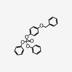 O=P(Oc1ccccc1)(Oc1ccccc1)Oc1ccc(OCc2ccccc2)cc1